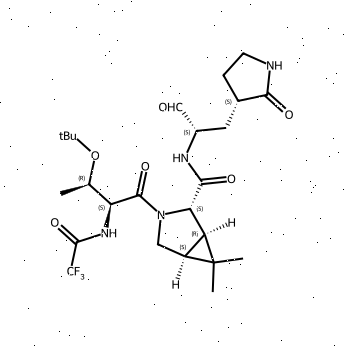 C[C@@H](OC(C)(C)C)[C@H](NC(=O)C(F)(F)F)C(=O)N1C[C@H]2[C@@H]([C@H]1C(=O)N[C@H](C=O)C[C@@H]1CCNC1=O)C2(C)C